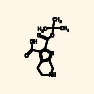 CC(C)(C)OC(=O)c1sc2c(c1C(=O)O)CCNC2